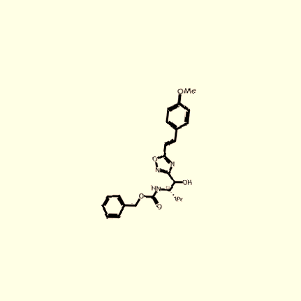 COc1ccc(C=Cc2nc(C(O)[C@@H](NC(=O)OCc3ccccc3)C(C)C)no2)cc1